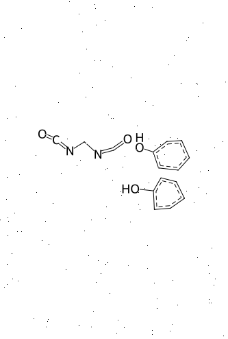 O=C=NCN=C=O.Oc1ccccc1.Oc1ccccc1